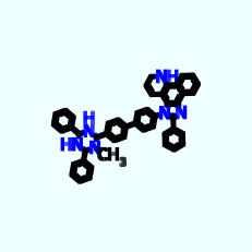 CN1C(c2ccccc2)NC(c2ccccc2)NC1c1ccc(-c2ccc(-n3c(-c4ccccc4)nc4c5ccccc5c5c(c43)C=CCN5)cc2)cc1